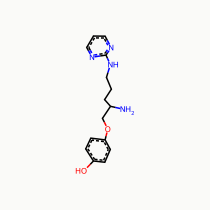 NC(CCCNc1ncccn1)COc1ccc(O)cc1